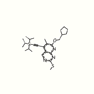 CSc1ncc2c(C#C[Si](C(C)C)(C(C)C)C(C)C)c(C)c(OCC3CCCC3)nc2n1